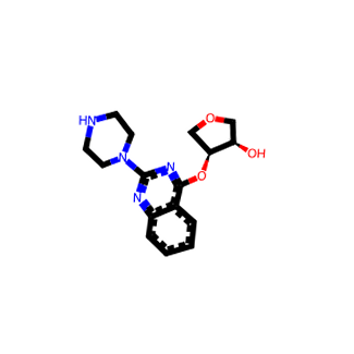 O[C@@H]1COC[C@@H]1Oc1nc(N2CCNCC2)nc2ccccc12